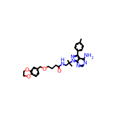 Cc1ccc(-c2nn(C(C)(C)CNC(=O)CCCOCc3ccc4c(c3)OCCO4)c3ncnc(N)c23)cc1